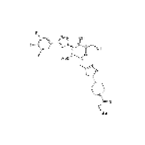 CO[C@@H]1[C@@H](n2cc(-c3cc(F)c(F)c(F)c3)nn2)[C@@H](O)[C@@H](CO)O[C@@H]1CC1=NOC(C2CCN(C(=O)OC(C)(C)C)CC2)C1